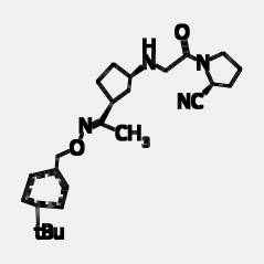 C/C(=N\OCc1ccc(C(C)(C)C)cc1)[C@H]1CC[C@@H](NCC(=O)N2CCC[C@H]2C#N)C1